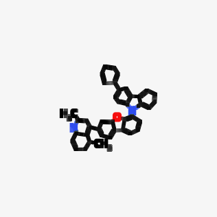 Cc1cc(-c2ccc3c(c2)oc2c(-n4c5ccccc5c5cc(-c6ccccc6)ccc54)cccc23)c2c(n1)C=CCC2C